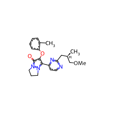 COC[C@H](C)Cc1nccc(-c2c(Oc3ccccc3C)c(=O)n3n2CCC3)n1